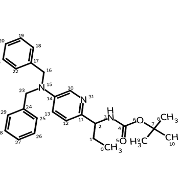 CCC(NC(=O)OC(C)(C)C)c1ccc(N(Cc2ccccc2)Cc2ccccc2)cn1